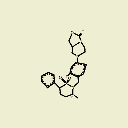 C[C@H]1CCC(c2ccccc2)S(=O)(=O)N1Cc1ccc(N2CCN3C(=O)OCC3C2)cc1F